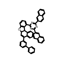 C1=C(c2cccc(-c3ccccc3)c2)c2ccccc2C2c3c(cccc3-c3nc(-c4ccc5ccccc5c4)nc(-c4ccc5ccccc5c4)n3)OC12